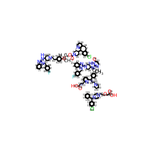 CCOC(=O)N1CCC(=C2c3ccc(Cl)cc3CCc3cccnc32)CC1.CN(c1nccc(=O)[nH]1)C1CCN(c2nc3ccccc3n2Cc2ccc(F)cc2)CC1.COc1ccc(CCN2CCC(Nc3nc4ccccc4n3Cc3ccc(F)cc3)CC2)cc1.Cc1ccc(/C(=C\CN2CCCC2)c2cccc(/C=C/C(=O)O)n2)cc1.O=C(O)COCCN1CCN(C(c2ccccc2)c2ccc(Cl)cc2)CC1